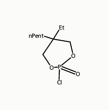 CCCCCC1(CC)COP(=O)(Cl)OC1